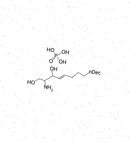 CCCCCCCCCCCCCC=CC(O)C(N)CO.O=P(O)(O)O